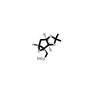 CCOC(=O)C[C@@]12O[C@@H]1C[C@H]1OC(C)(C)O[C@H]12